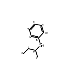 C[CH]C(C)Sc1ccccc1